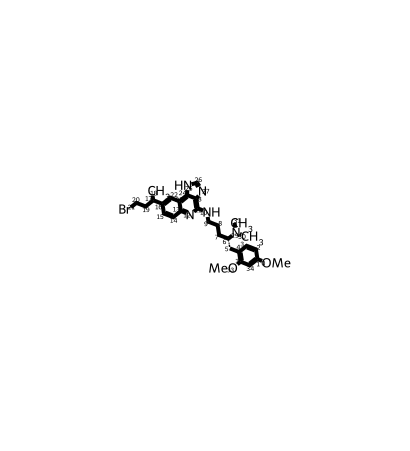 COc1ccc(C[C@H](CCCNc2nc3ccc(C(C)CCBr)cc3c3[nH]cnc23)N(C)C)c(OC)c1